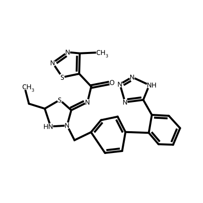 CCC1NN(Cc2ccc(-c3ccccc3-c3nnn[nH]3)cc2)C(=NC(=O)c2snnc2C)S1